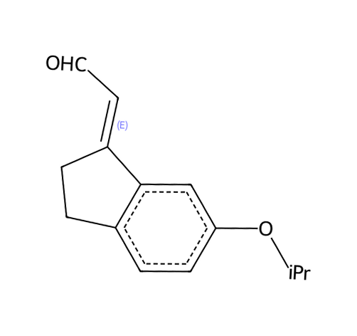 CC(C)Oc1ccc2c(c1)/C(=C/C=O)CC2